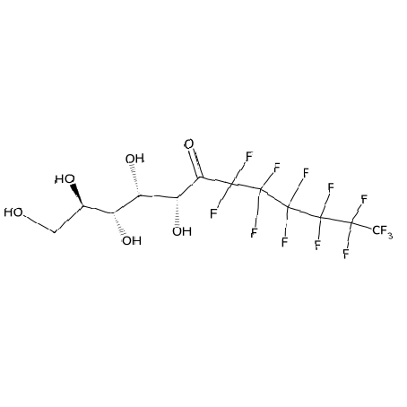 O=C([C@H](O)[C@@H](O)[C@H](O)[C@H](O)CO)C(F)(F)C(F)(F)C(F)(F)C(F)(F)C(F)(F)C(F)(F)F